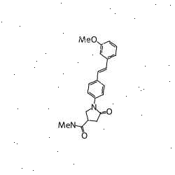 CNC(=O)C1CC(=O)N(c2ccc(C=Cc3cccc(OC)c3)cc2)C1